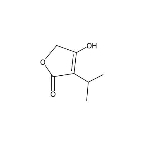 CC(C)C1=C(O)COC1=O